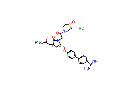 COC(=O)C[C@@H]1C[C@@H](COc2ccc(-c3ccc(C(=N)N)cc3)cc2)N(CC(=O)N2CC[S+]([O-])CC2)C1=O.Cl